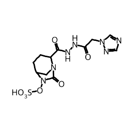 O=C(Cn1cncn1)NNC(=O)C1CCC2CN1C(=O)N2OS(=O)(=O)O